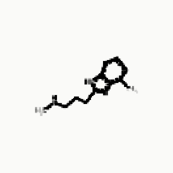 CNCCCc1nc2c(C)cccc2[nH]1